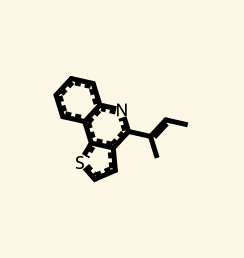 C/C=C(\C)c1nc2ccccc2c2sccc12